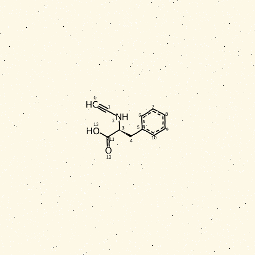 C#CN[C@@H](Cc1ccccc1)C(=O)O